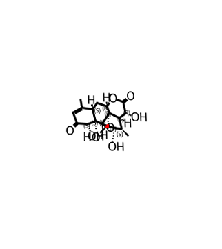 CC1=CC(=O)[C@@H](O)[C@]2(C)[C@H]3[C@@H](O)[C@@H](O)[C@@]4(C)OC[C@@]35[C@@H](C[C@@H]12)OC(=O)[C@H](O)[C@@H]45